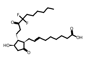 CCCCCCC(F)(F)C(=O)CC[C@H]1[C@H](O)CC(=O)[C@@H]1CC=CCCCCCC(=O)O